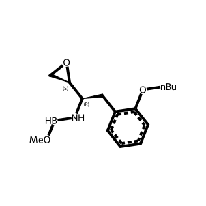 CCCCOc1ccccc1C[C@@H](NBOC)[C@H]1CO1